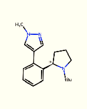 Cn1cc(-c2ccccc2[C@H]2CCCN2C(C)(C)C)cn1